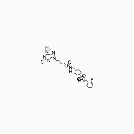 Nc1nc(Cl)nc2c1ncn2CCCCOC(=O)NCc1ccc(S(=O)(=O)NCc2ccccc2F)cc1